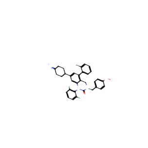 COc1ccc(CN2Cc3c(-c4ccccc4Cl)cc(C4CCC(=NO)CC4)cc3N(c3c(Cl)cccc3Cl)C2=O)cc1